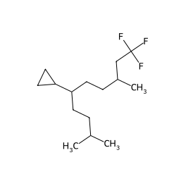 CC(C)CCC(CCC(C)CC(F)(F)F)C1CC1